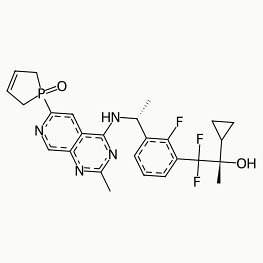 Cc1nc(N[C@H](C)c2cccc(C(F)(F)[C@@](C)(O)C3CC3)c2F)c2cc(P3(=O)CC=CC3)ncc2n1